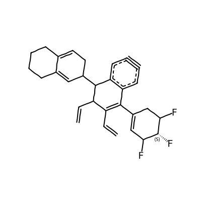 C=CC1=C(C2=CC(F)[C@@H](F)C(F)C2)c2cc#ccc2C(C2C=C3CCCCC3=CC2)C1C=C